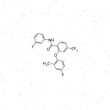 Cc1cc(F)ccc1Oc1cc(C(F)(F)F)ccc1C(=O)Nc1cccc(I)c1